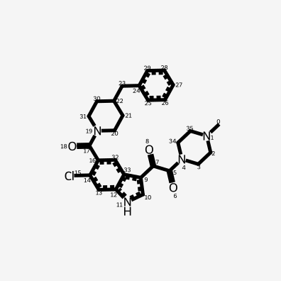 CN1CCN(C(=O)C(=O)c2c[nH]c3cc(Cl)c(C(=O)N4CCC(Cc5ccccc5)CC4)cc23)CC1